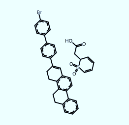 Brc1ccc(-c2ccc(C3=Cc4ccc5c(c4CC3)CCc3ccccc3-5)cc2)cc1.O=C(O)CC1C=CC=CS1(=O)=O